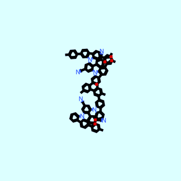 Cc1ccc(-c2ccc3c4ccc(-c5ccc(C)cc5)cc4n(-c4cc(C#N)cc(-n5c6cc(-c7ccc(C)cc7)ccc6c6ccc(-c7ccc(C)cc7-c7cc(-c8ccc9c%10ccccc%10n(-c%10cc(C#N)cc(-n%11c%12ccccc%12c%12ccc(-c%13ccc(C)cc%13C)cc%12%11)c%10-c%10cccc(C#N)c%10)c9c8)c(C)cc7C)cc65)c4-c4cccc(C#N)c4)c3c2)cc1